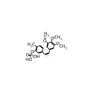 COc1cc(/C=C\c2ccc(C)c(OP(=O)(O)O)c2)cc(OC)c1OC